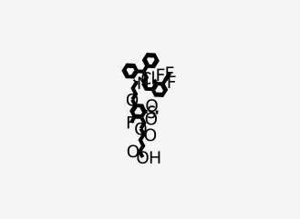 C[C@H](CCOc1cc(F)c(COC(=O)CCC(=O)O)c(S(C)(=O)=O)c1)N(Cc1cccc(C(F)(F)F)c1Cl)CC(c1ccccc1)c1ccccc1